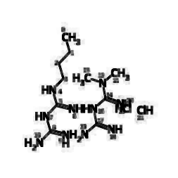 CCCCNC(=N)NC(=N)N.CN(C)C(=N)NC(=N)N.Cl.Cl